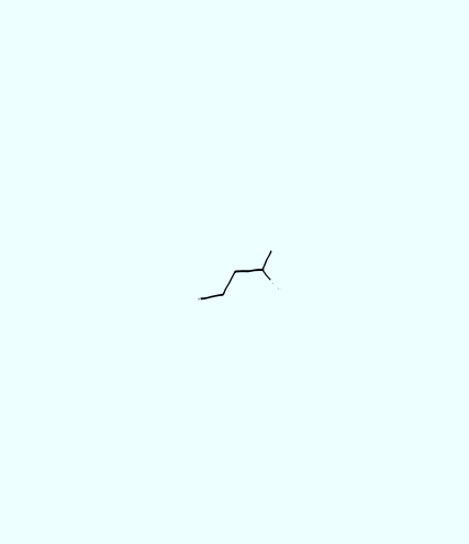 OCC[CH](O)[Na]